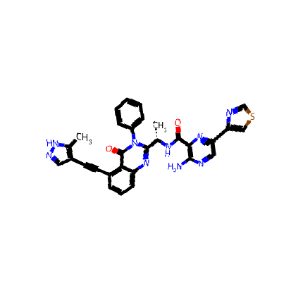 Cc1[nH]ncc1C#Cc1cccc2nc([C@H](C)NC(=O)c3nc(-c4cscn4)cnc3N)n(-c3ccccc3)c(=O)c12